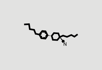 CCCCCc1ccc([C@H]2CC[C@@](C#N)(CCCCC)CC2)cc1